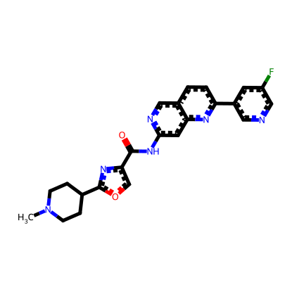 CN1CCC(c2nc(C(=O)Nc3cc4nc(-c5cncc(F)c5)ccc4cn3)co2)CC1